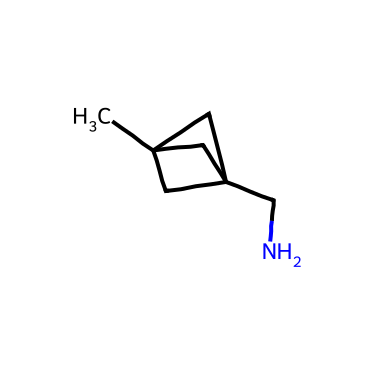 CC12CC(CN)(C1)C2